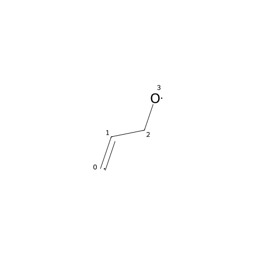 [CH]=CC[O]